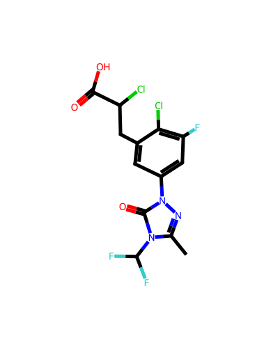 Cc1nn(-c2cc(F)c(Cl)c(CC(Cl)C(=O)O)c2)c(=O)n1C(F)F